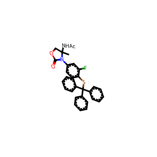 CC(=O)NC1(C)COC(=O)N1c1ccc(SC(c2ccccc2)(c2ccccc2)c2ccccc2)c(F)c1